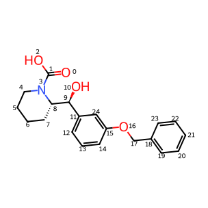 O=C(O)N1CCCC[C@H]1[C@@H](O)c1cccc(OCc2ccccc2)c1